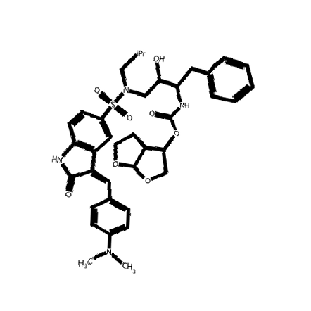 CC(C)CN(CC(O)C(Cc1ccccc1)NC(=O)OC1COC2OCCC12)S(=O)(=O)c1ccc2c(c1)C(=Cc1ccc(N(C)C)cc1)C(=O)N2